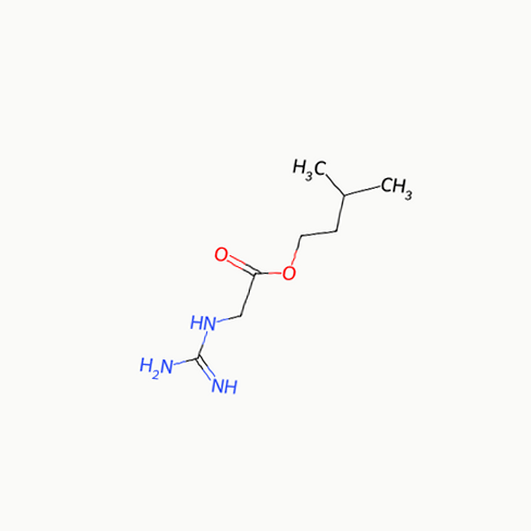 CC(C)CCOC(=O)CNC(=N)N